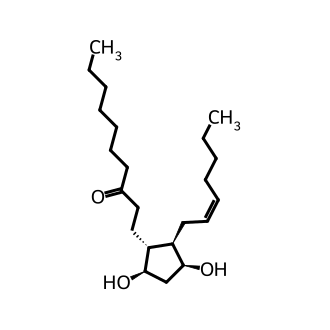 CCCC/C=C\C[C@@H]1[C@@H](CCC(=O)CCCCCCC)[C@H](O)C[C@@H]1O